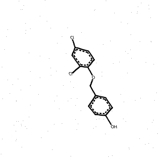 Oc1ccc(COc2ccc(Cl)cc2Cl)cc1